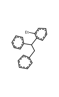 CCc1[c]cccc1C(Cc1ccccc1)c1ccccc1